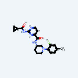 O=C(N[C@@H]1CCCN(c2ccc(C(F)(F)F)cc2F)C1)c1ccnc(NC(=O)C2CC2)n1